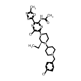 CC[C@H]1CN(c2nc(NC(C)=O)c(-c3nnc(C)o3)nc2Cl)CCN1C1CCN(Cc2ccc(Cl)cc2)CC1